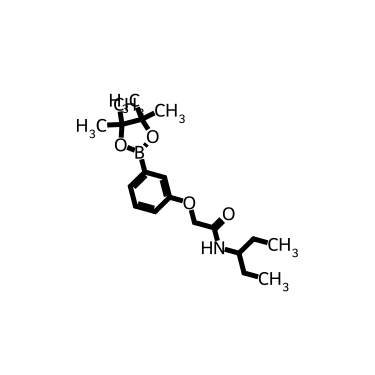 CCC(CC)NC(=O)COc1cccc(B2OC(C)(C)C(C)(C)O2)c1